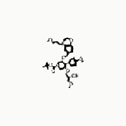 COCCCN1CCOc2ccc(CO[C@H]3CN(C(=O)OC(C)(C)C)C[C@@H](OC[C@H](O)COC)[C@@H]3c3ccc(OC)cc3)cc21